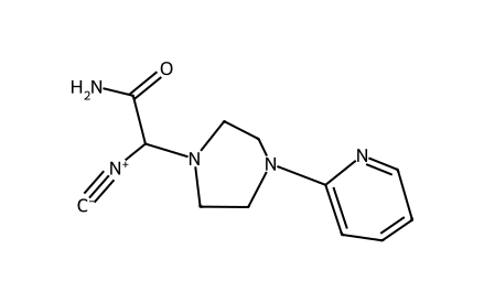 [C-]#[N+]C(C(N)=O)N1CCN(c2ccccn2)CC1